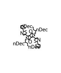 CCCCCCCCCCCCC(CCCCCCCCCC)CN1C(=O)C2=C(c3cnc(-c4cccs4)s3)N(CC(CCCCCCCCCC)CCCCCCCCCCCC)C(=O)C2=C1c1cnc(-c2cccs2)s1